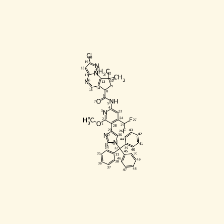 COc1nc(NC(=O)C2CC(C)(C)c3c2cnc2cc(Cl)nn32)cc(C(F)F)c1-c1cn(C(c2ccccc2)(c2ccccc2)c2ccccc2)cn1